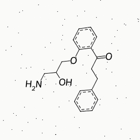 NCC(O)COc1ccccc1C(=O)CCc1ccccc1